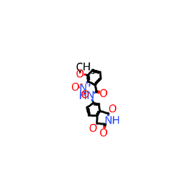 COc1cccc(C(=O)Nc2ccc3c(c2)C(=O)NC(=O)C3=O)c1[N+](=O)[O-]